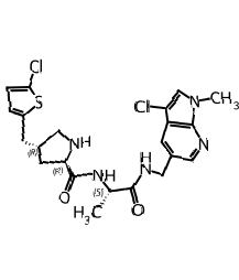 C[C@H](NC(=O)[C@H]1C[C@H](Cc2ccc(Cl)s2)CN1)C(=O)NCc1cnc2c(c1)c(Cl)cn2C